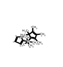 CC1=C(C)C(C)(C)[C]([Zr]([CH3])([CH3])([CH3])([CH3])[c]2ccc[nH]2)=C1C